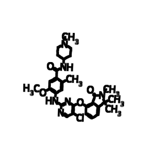 COc1cc(C(=O)NC2CCN(C)CC2)c(C)cc1Nc1ncc(Cl)c(Oc2cccc3c2C(=O)N(C)C3(C)C)n1